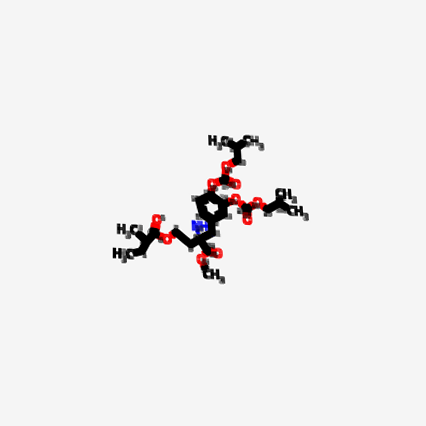 CCC(C)C(=O)OCC[C@@](N)(Cc1ccc(OC(=O)OCC(C)C)c(OC(=O)OCC(C)C)c1)C(=O)OC